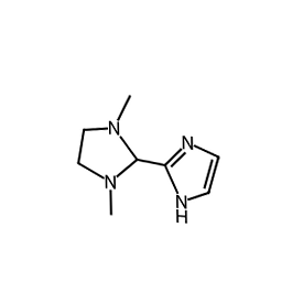 CN1CCN(C)C1c1ncc[nH]1